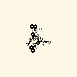 CN(C)CCCNC(=O)C1C2CC(OC(=O)c3c(O)ccc4ccccc34)C(C2)C1C(=O)NC(=O)C1C2CC(CC2OC(=O)c2c(O)ccc3ccccc23)C1C(=O)NCCCN(C)C